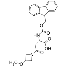 COC1CN(C(=O)C[C@H](NC(=O)OCC2c3ccccc3-c3ccccc32)C(=O)O)C1